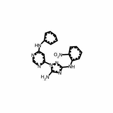 Nc1nc(Nc2ccccc2[N+](=O)[O-])nn1-c1cc(Nc2ccccc2)ncn1